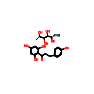 C[C@H](O)[C@H](O)[C@@H](O)[C@@H](O)C=O.O=C(CCc1ccc(O)cc1)c1c(O)cc(O)cc1O